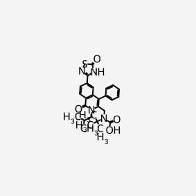 CC(C)Cn1c(CN(C(=O)O)C(C)(C)C)c(-c2ccccc2)c2cc(-c3nsc(=O)[nH]3)ccc2c1=O